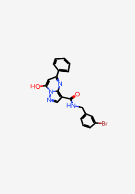 O=C(NCc1cccc(Br)c1)c1cnn2c(O)cc(-c3ccccc3)nc12